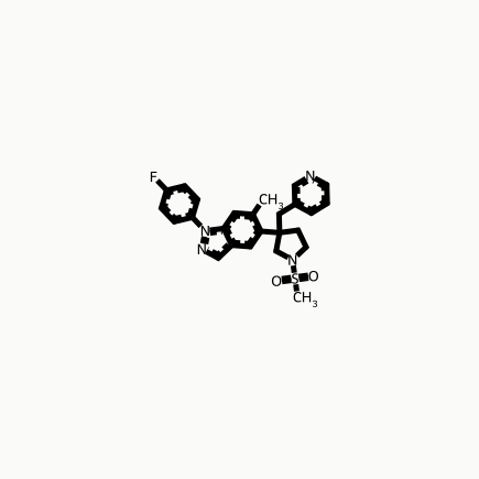 Cc1cc2c(cnn2-c2ccc(F)cc2)cc1C1(Cc2cccnc2)CCN(S(C)(=O)=O)C1